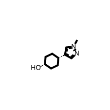 Cn1cc([C@H]2CC[C@@H](O)CC2)cn1